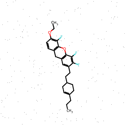 CCCC1=CCC(CCc2cc3c(c(F)c2F)Oc2c(ccc(OCC)c2F)C3)CC1